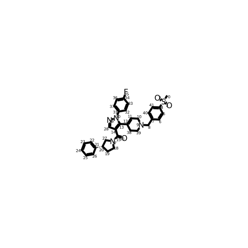 CS(=O)(=O)c1ccc(CN2CC=C(c3c(C(=O)N4CC[C@H](c5ccccc5)C4)cnn3-c3ccc(F)cc3)CC2)cc1